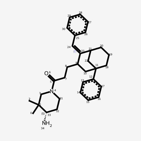 CC1(C)CN(C(=O)CCC2CC3(c4ccccc4)CCCC(C3)/C2=C\c2ccccc2)CC[C@@H]1N